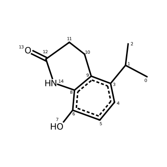 CC(C)c1ccc(O)c2c1CCC(=O)N2